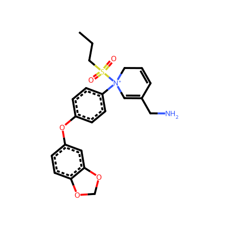 CCCS(=O)(=O)[N+]1(c2ccc(Oc3ccc4c(c3)OCO4)cc2)C=C(CN)C=CC1